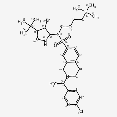 C[C@H](c1cnc(Cl)nc1)N1CCc2ccc(S(=O)(=O)N(COCC[Si](C)(C)C)C3NOC(C(C)(C)C)C3Br)cc2C1